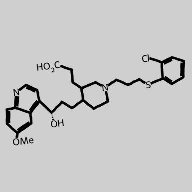 COc1ccc2nccc([C@@H](O)CCC3CCN(CCCSc4ccccc4Cl)CC3CCC(=O)O)c2c1